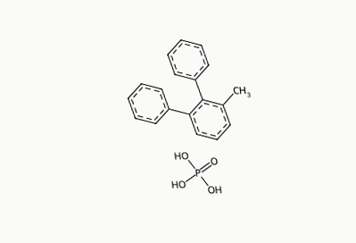 Cc1cccc(-c2ccccc2)c1-c1ccccc1.O=P(O)(O)O